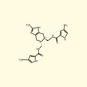 Bc1c[nH]c(C(=O)NC[C@@H]2Cc3nc(N)[nH]c3C[C@H]2CNC(=O)c2cc(B)c[nH]2)c1